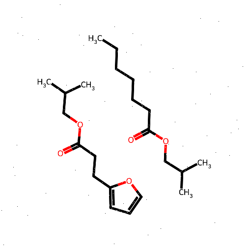 CC(C)COC(=O)CCc1ccco1.CCCCCCC(=O)OCC(C)C